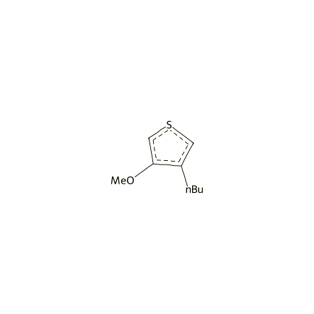 CCCCc1cscc1OC